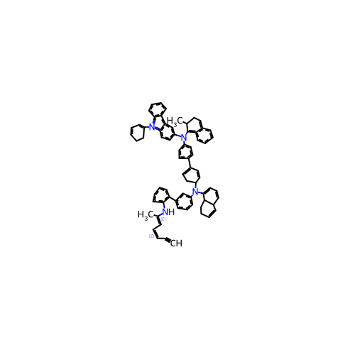 C#C/C=C\C=C(/C)Nc1ccccc1-c1cccc(N(C2=CC=CC3C=CCCC23)C2C=CC(c3ccc(N(C4=c5ccccc5=CCC4C)c4ccc5c(c4)c4ccccc4n5C4=CC=CCC4)cc3)=CC2)c1